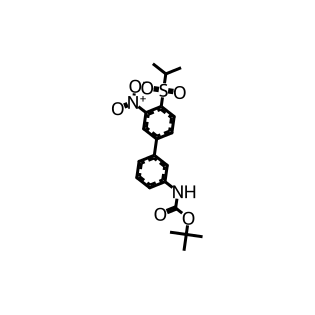 CC(C)S(=O)(=O)c1ccc(-c2cccc(NC(=O)OC(C)(C)C)c2)cc1[N+](=O)[O-]